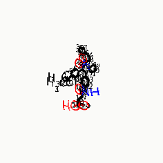 CC(C)(C)c1ccc(C(Cc2ccc(NC(=O)CCC(=O)O)cc2)C(=O)N(c2ccccc2)c2ccc3cccc-3o2)cc1